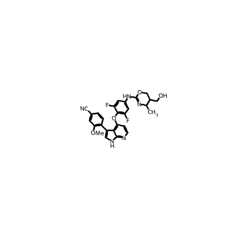 COc1cc(C#N)ccc1-c1c[nH]c2nccc(Oc3c(F)cc(NC4=NC(C)C(CO)CO4)cc3F)c12